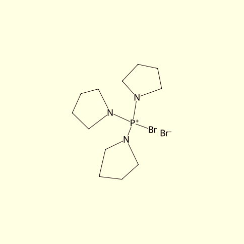 Br[P+](N1CCCC1)(N1CCCC1)N1CCCC1.[Br-]